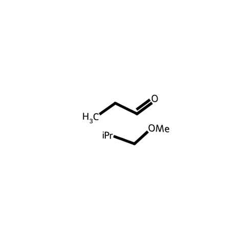 CCC=O.COCC(C)C